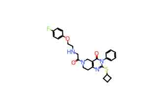 O=C(CNCCOc1ccc(F)cc1)N1CCc2nc(SC3CCC3)n(-c3ccccc3)c(=O)c2C1